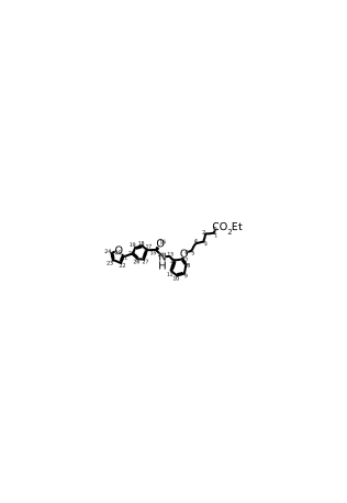 CCOC(=O)CCCCCOc1ccccc1CNC(=O)c1ccc(-c2ccco2)cc1